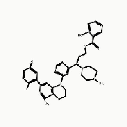 CN1CCN(C(CCNC(=O)c2ccccc2O)c2cccc(N3CCOc4c3cc(-c3cc(Cl)ccc3F)nc4C(F)(F)F)c2)CC1